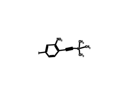 C[Si](C)(C)C#Cc1ccc(I)cc1[N+](=O)[O-]